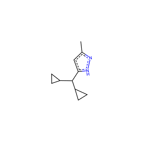 Cc1cc(C(C2CC2)C2CC2)[nH]n1